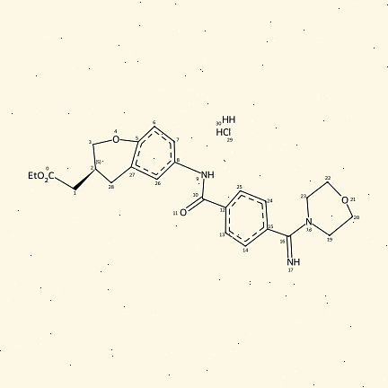 CCOC(=O)C[C@H]1COc2ccc(NC(=O)c3ccc(C(=N)N4CCOCC4)cc3)cc2C1.Cl.[HH]